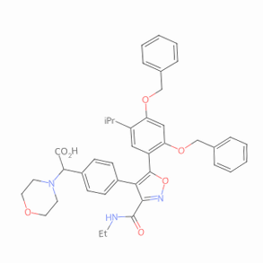 CCNC(=O)c1noc(-c2cc(C(C)C)c(OCc3ccccc3)cc2OCc2ccccc2)c1-c1ccc(C(C(=O)O)N2CCOCC2)cc1